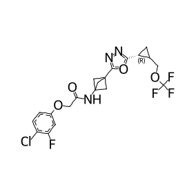 O=C(COc1ccc(Cl)c(F)c1)NC12CC(c3nnc([C@@H]4CC4COC(F)(F)F)o3)(C1)C2